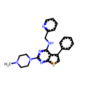 CN1CCN(c2nc(NCc3ccccn3)c3c(-c4ccccc4)csc3n2)CC1